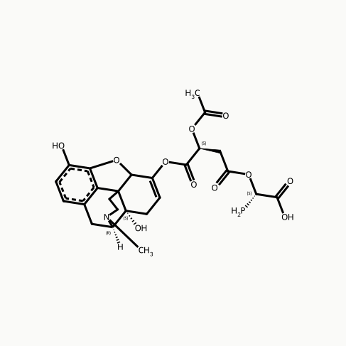 CC(=O)O[C@@H](CC(=O)O[C@@H](P)C(=O)O)C(=O)OC1=CC[C@@]2(O)[C@H]3Cc4ccc(O)c5c4C2(CCN3C)C1O5